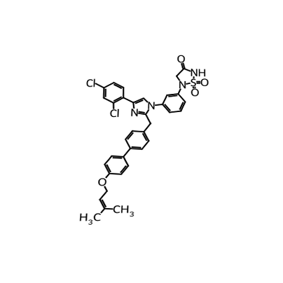 CC(C)=CCOc1ccc(-c2ccc(Cc3nc(-c4ccc(Cl)cc4Cl)cn3-c3cccc(N4CC(=O)NS4(=O)=O)c3)cc2)cc1